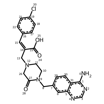 Nc1ncnc2cc(CN3CCN(CC(=Cc4ccc(Cl)cc4)C(=O)O)CC3=O)ccc12